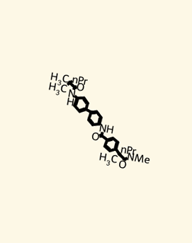 CCCC(C)(C)C(=O)Nc1ccc(-c2ccc(NC(=O)c3ccc(C(C)(CCC)C(=O)NC)cc3)cc2)cc1